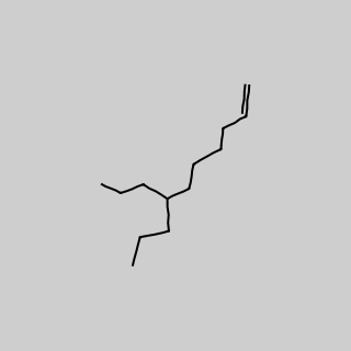 C=CCCCCC(CCC)CCC